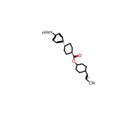 CCCCCCc1ccc([C@H]2CC[C@H](C(=O)OC3CCC(/C=C/C#N)CC3)CC2)cc1